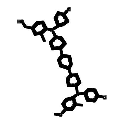 COc1ccc(N(c2ccc(Cl)cc2)c2ccc(-c3ccc(-c4ccc(N(c5ccc(Cl)cc5)c5ccc(CO)cc5C)cc4)cc3)cc2)c(C)c1